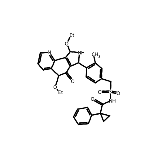 CCOC1NC(c2ccc(CS(=O)(=O)NC(=O)C3(c4ccccc4)CC3)cc2C)C2=C1c1ncccc1C(OCC)C2=O